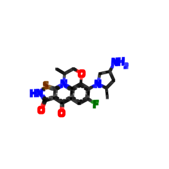 CC1CC(N)CN1c1c(F)cc2c(=O)c3c(=O)[nH]sc3n3c2c1OCC3C